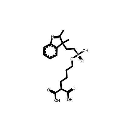 CC1=Nc2ccccc2C1(C)CCP(=O)(O)OCCCCC(C(=O)O)C(=O)O